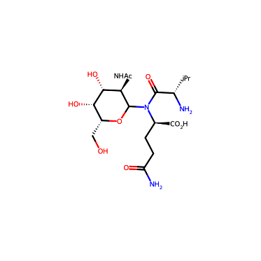 CC(=O)N[C@H]1C(N(C(=O)[C@@H](N)C(C)C)[C@H](CCC(N)=O)C(=O)O)O[C@H](CO)[C@H](O)[C@@H]1O